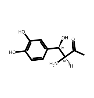 [2H][C@@](N)(C(C)=O)[C@H](O)c1ccc(O)c(O)c1